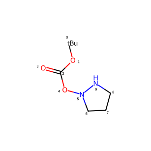 CC(C)(C)OC(=O)ON1CCCN1